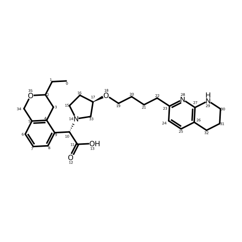 CCC1Cc2c(cccc2[C@@H](C(=O)O)N2CC[C@@H](OCCCCc3ccc4c(n3)NCCC4)C2)CO1